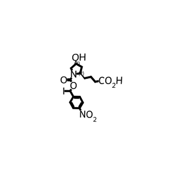 O=C(O)CCC[C@@H]1C[C@@H](O)CN1C(=O)OC(I)c1ccc([N+](=O)[O-])cc1